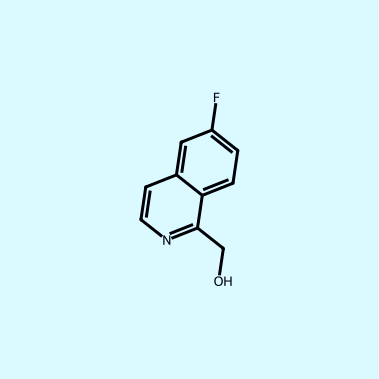 OCc1nccc2cc(F)ccc12